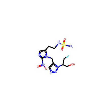 NS(=O)(=O)NCCc1cnc([N+](=O)[O-])n1Cc1cnnn1C(CO)CF